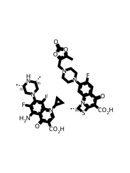 C[C@@H]1CN(c2c(F)c(N)c3c(=O)c(C(=O)O)cn(C4CC4)c3c2F)C[C@H](C)N1.Cc1oc(=O)oc1CN1CCN(c2cc3c(cc2F)c(=O)c(C(=O)O)c2n3[C@@H](C)S2)CC1